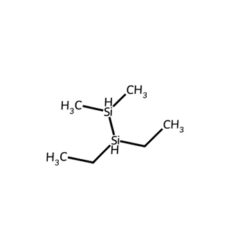 CC[SiH](CC)[SiH](C)C